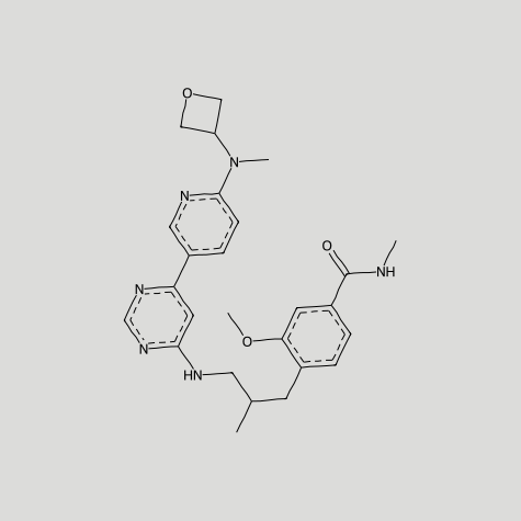 CNC(=O)c1ccc(CC(C)CNc2cc(-c3ccc(N(C)C4COC4)nc3)ncn2)c(OC)c1